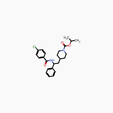 CC(C)OC(=O)N1CCC(CC(NC(=O)c2ccc(Cl)cc2)c2ccccc2)CC1